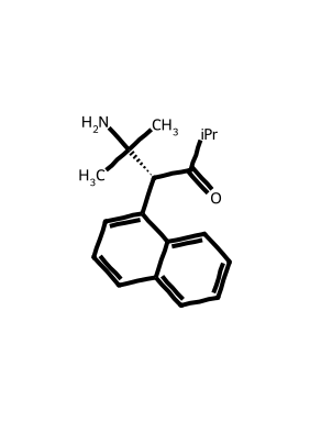 CC(C)C(=O)[C@H](c1cccc2ccccc12)C(C)(C)N